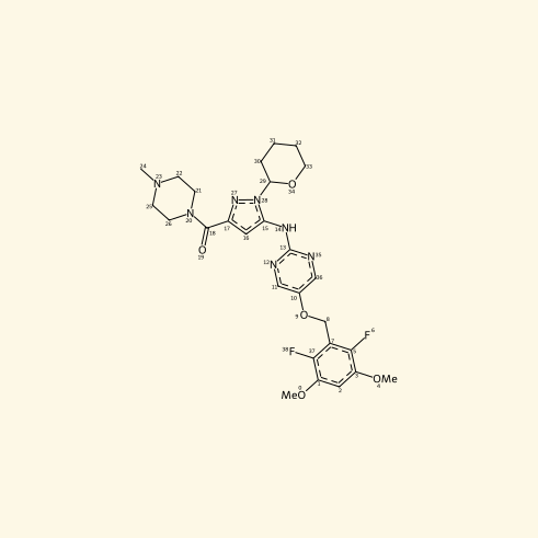 COc1cc(OC)c(F)c(COc2cnc(Nc3cc(C(=O)N4CCN(C)CC4)nn3C3CCCCO3)nc2)c1F